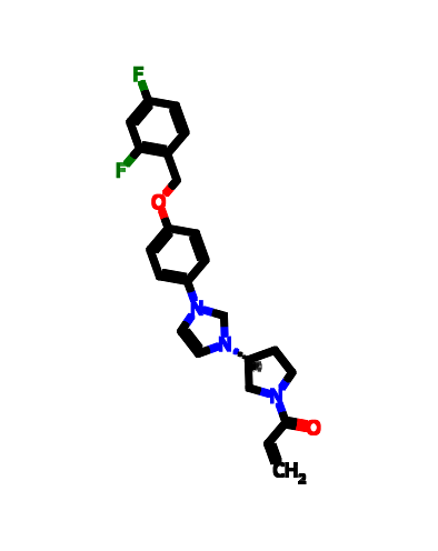 C=CC(=O)N1CC[C@@H](N2C=CN(c3ccc(OCc4ccc(F)cc4F)cc3)C2)C1